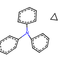 C1CC1.c1ccc(N(c2ccccc2)c2ccccc2)cc1